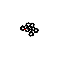 c1ccc(C2(c3ccccc3)c3ccccc3-c3ccc4ccc5c6ccccc6[nH]c5c4c32)cc1